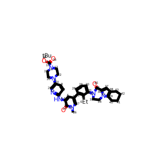 CCc1c(-c2cc(Nc3ccc(N4CCN(C(=O)OC(C)(C)C)CC4)cn3)c(=O)n(C)c2)cccc1N1CCn2c(cc3c2CCCC3)C1=O